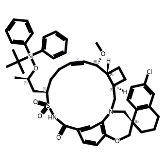 CO[C@H]1/C=C\CC[C@H](C[C@@H](C)O[Si](c2ccccc2)(c2ccccc2)C(C)(C)C)S(=O)(=O)NC(=O)c2ccc3c(c2)N(C[C@@H]2CC[C@H]21)C[C@@]1(CCCc2cc(Cl)ccc21)CO3